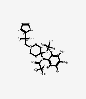 [2H]c1c([2H])c([2H])c(N(C(=O)C([2H])([2H])C)C2(OC([2H])([2H])[2H])CCN(CC([2H])([2H])c3cccs3)CC2)c([2H])c1[2H]